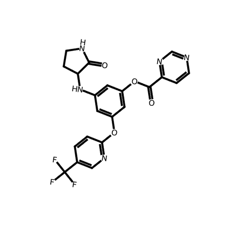 O=C(Oc1cc(NC2CCNC2=O)cc(Oc2ccc(C(F)(F)F)cn2)c1)c1ccncn1